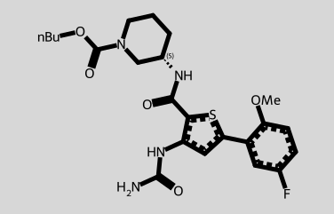 CCCCOC(=O)N1CCC[C@H](NC(=O)c2sc(-c3cc(F)ccc3OC)cc2NC(N)=O)C1